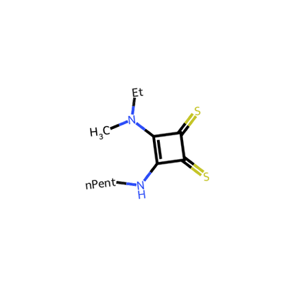 CCCCCNc1c(N(C)CC)c(=S)c1=S